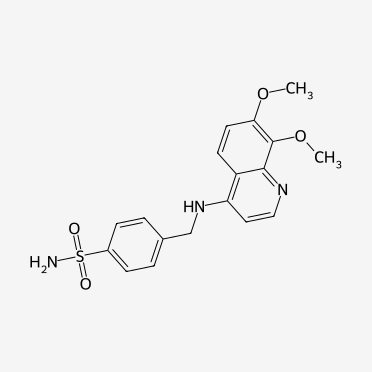 COc1ccc2c(NCc3ccc(S(N)(=O)=O)cc3)ccnc2c1OC